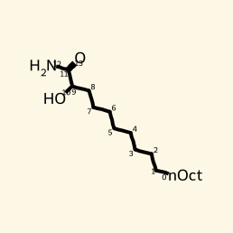 CCCCCCCCCCCCCCCCC(O)C(N)=O